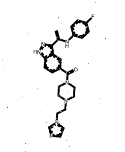 C=C(Nc1ccc(F)cc1)c1n[nH]c2ccc(C(=O)N3CCN(CCn4ccnc4)CC3)cc12